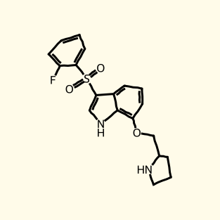 O=S(=O)(c1ccccc1F)c1c[nH]c2c(OCC3CCCN3)cccc12